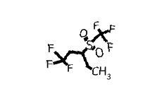 CCC(CC(F)(F)F)S(=O)(=O)C(F)(F)F